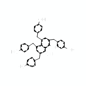 Oc1ccc(Cc2cc(Cc3ccc(O)cc3)c3c(Cc4ccc(O)cc4)cc(Cc4ccc(O)cc4)c(O)c3c2O)cc1